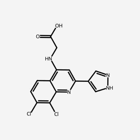 O=C(O)CNc1cc(-c2cn[nH]c2)nc2c(Cl)c(Cl)ccc12